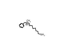 C[N+](C)(CCCCCCCC[SiH3])Cc1ccccc1